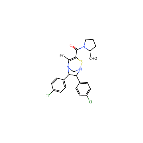 CC(C)C1=C(C(=O)N2CCC[C@H]2C=O)SN2CN1C(c1ccc(Cl)cc1)C2c1ccc(Cl)cc1